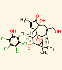 CC1=C[C@H]2[C@@]3(O)[C@H](C)[C@@H](O)[C@]4(O)[C@H]([C@@H]3C=C(CO)C[C@]2(O)C1=O)C4(C)C.Oc1c(Cl)c(Cl)c(Cl)c(Cl)c1Cl